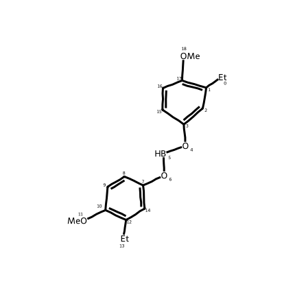 CCc1cc(OBOc2ccc(OC)c(CC)c2)ccc1OC